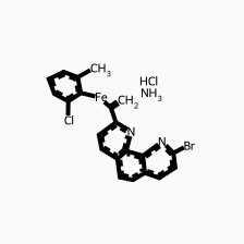 C=[C]([Fe][c]1c(C)cccc1Cl)c1ccc2ccc3ccc(Br)nc3c2n1.Cl.N